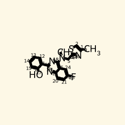 Cc1csc(CN(C)c2nc(-c3ccccc3O)nc3ccc(F)cc23)n1